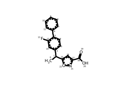 CC(c1ccc(-c2ccccc2)c(F)c1)c1cc(C(=O)O)no1